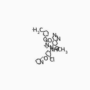 [CH2]c1cccc(OC(=O)N2CCC2N(Nc2ccc(OCc3ccccn3)c(Cl)c2)c2cc3cncnc3cc2OC)c1